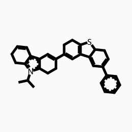 CC(C)n1c2c(c3c1CCC(C1=CC4=C(CC1)SC1CC=C(c5ccccc5)C=C41)=C3)C=CCC2